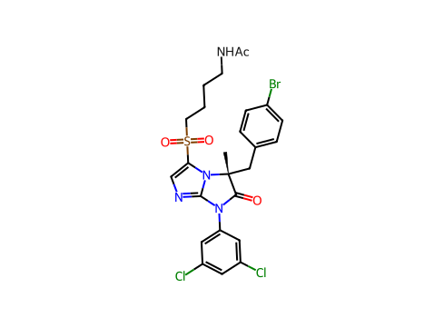 CC(=O)NCCCCS(=O)(=O)c1cnc2n1[C@](C)(Cc1ccc(Br)cc1)C(=O)N2c1cc(Cl)cc(Cl)c1